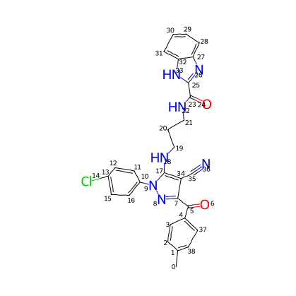 Cc1ccc(C(=O)c2nn(-c3ccc(Cl)cc3)c(NCCCNC(=O)c3nc4ccccc4[nH]3)c2C#N)cc1